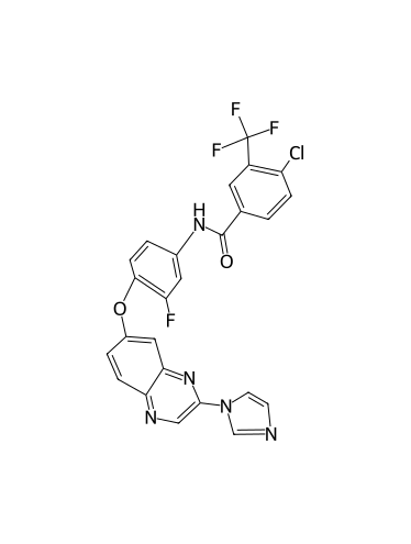 O=C(Nc1ccc(Oc2ccc3ncc(-n4ccnc4)nc3c2)c(F)c1)c1ccc(Cl)c(C(F)(F)F)c1